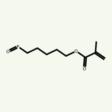 C=C(C)C(=O)OCCCCCP=O